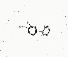 Fc1cc(-c2nncnn2)ccc1Br